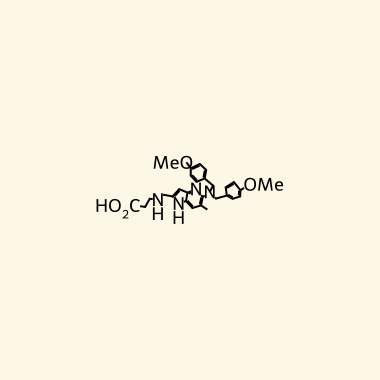 COc1ccc(CN(Cc2ccc(OC)cc2)c2nc3cc(CNCCC(=O)O)[nH]c3cc2C)cc1